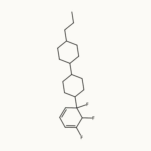 CCCC1CCC(C2CCC(C3(F)C=CC=C(F)C3F)CC2)CC1